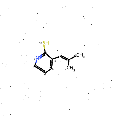 CC(C)=Cc1cccnc1S